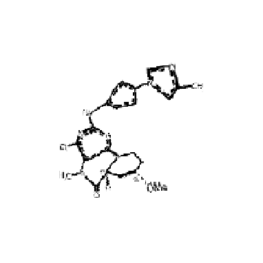 CCc1nc(Nc2ccc(-n3cnc(C)c3)cc2)nc2c1N(C)C(=O)[C@H]1C[C@@H](OC)CCN21